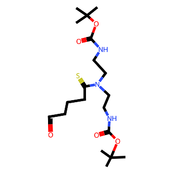 CC(C)(C)OC(=O)NCCN(CCNC(=O)OC(C)(C)C)C(=S)CCCC=O